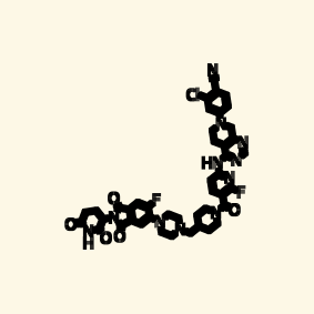 N#Cc1ccc(N2CCc3c(ncnc3Nc3ccc(C(=O)N4CCC(CN5CCN(c6cc7c(cc6F)C(=O)N(C6CCC(=O)NC6=O)C7=O)CC5)CC4)c(F)n3)C2)cc1Cl